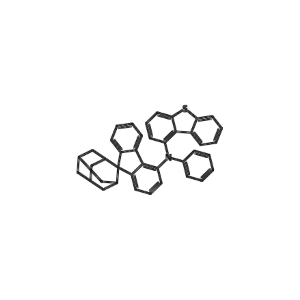 c1ccc(N(c2cccc3c2-c2ccccc2C32C3CC4CC(C3)CC2C4)c2cccc3sc4ccccc4c23)cc1